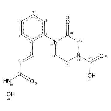 O=C(C=Cc1ccccc1N1CCN(C(=O)O)CC1=O)NO